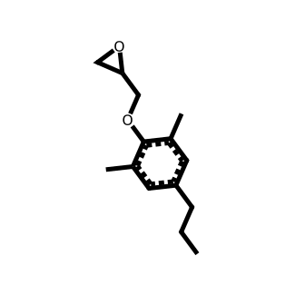 CCCc1cc(C)c(OCC2CO2)c(C)c1